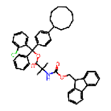 CC(C)(NC(=O)OCC1c2ccccc2-c2ccccc21)C(=O)OC(c1ccccc1)(c1ccc(C2CCCCCCCC2)cc1)c1ccccc1Cl